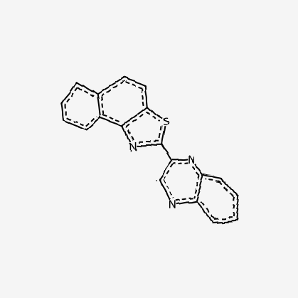 [c]1nc2ccccc2nc1-c1nc2c(ccc3ccccc32)s1